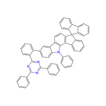 c1ccc(-c2nc(-c3ccccc3)nc(-c3ccccc3-c3ccc4c(c3)c3ccc5c(c3n4-c3ccccc3)-c3ccccc3C53c4ccccc4-c4ccccc43)n2)cc1